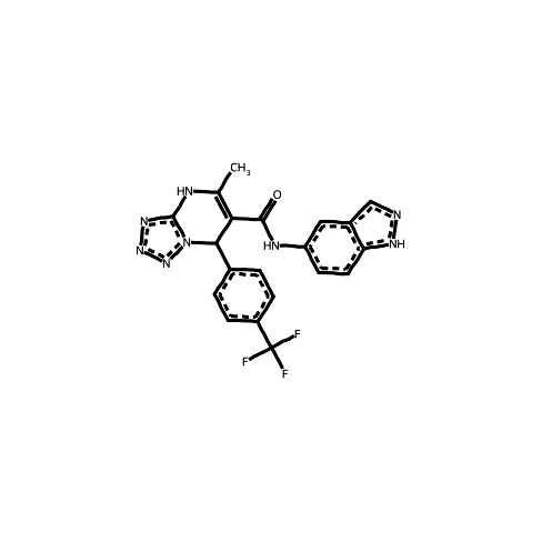 CC1=C(C(=O)Nc2ccc3[nH]ncc3c2)C(c2ccc(C(F)(F)F)cc2)n2nnnc2N1